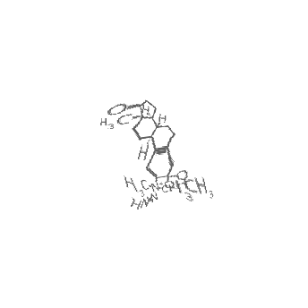 COC1(O)CC2=C(C=C1[N+](C)(C)N=N)[C@H]1CC[C@]3(C)C(=O)CC[C@H]3[C@@H]1CC2